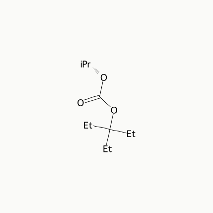 [CH2][C@@H](C)OC(=O)OC(CC)(CC)CC